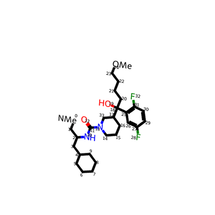 CNCC(CC1CCCCC1)NC(=O)N1CCCC(C(O)(CCCCOC)c2cc(F)ccc2F)C1